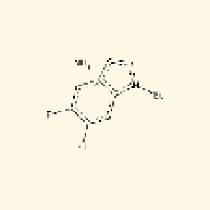 CCn1ccc2cc(F)c(Cl)cc21.N